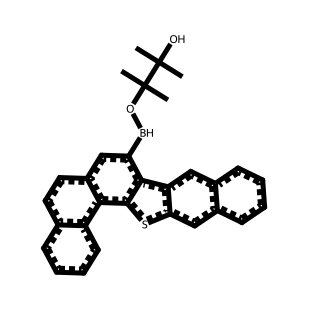 CC(C)(O)C(C)(C)OBc1cc2ccc3ccccc3c2c2sc3cc4ccccc4cc3c12